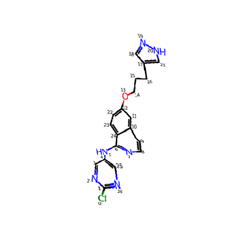 Clc1ncc(Nc2nccc3cc(OCCCc4cn[nH]c4)ccc23)cn1